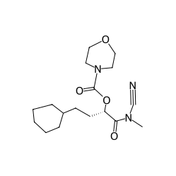 CN(C#N)C(=O)[C@H](CCC1CCCCC1)OC(=O)N1CCOCC1